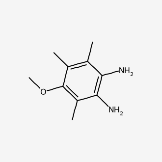 COc1c(C)c(C)c(N)c(N)c1C